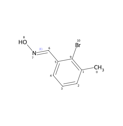 Cc1cccc(/C=N/O)c1Br